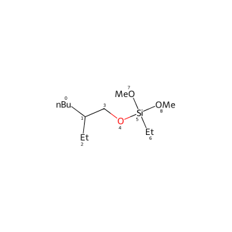 CCCCC(CC)CO[Si](CC)(OC)OC